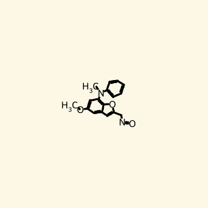 COc1cc(N(C)c2ccccc2)c2oc(CN=O)cc2c1